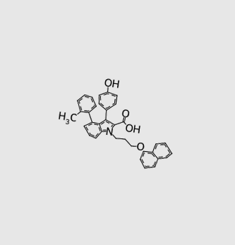 Cc1ccccc1-c1cccc2c1c(-c1ccc(O)cc1)c(C(=O)O)n2CCCOc1cccc2ccccc12